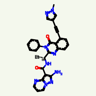 CC[C@@H](NC(=O)c1c(N)nn2cccnc12)c1nc2cccc(C#Cc3cnn(C)c3)c2c(=O)n1-c1ccccc1